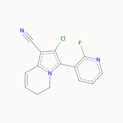 N#Cc1c(Cl)c(-c2cccnc2F)n2c1C=CCC2